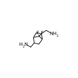 NCC1CC2C(CN)CC1C2(F)F